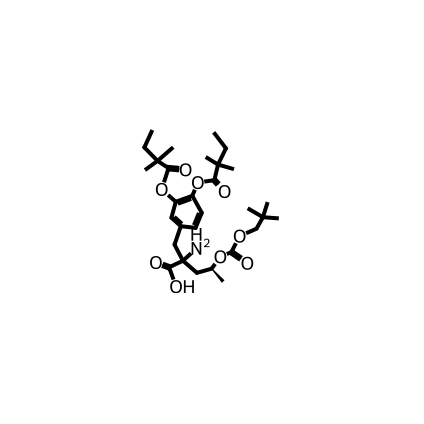 CCC(C)(C)C(=O)Oc1ccc(CC(N)(C[C@H](C)OC(=O)OCC(C)(C)C)C(=O)O)cc1OC(=O)C(C)(C)CC